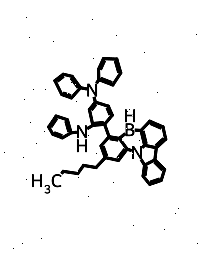 CCCCCc1cc(-c2ccc(N(c3ccccc3)c3ccccc3)cc2Nc2ccccc2)c2c(c1)-n1c3ccccc3c3cccc(c31)B2